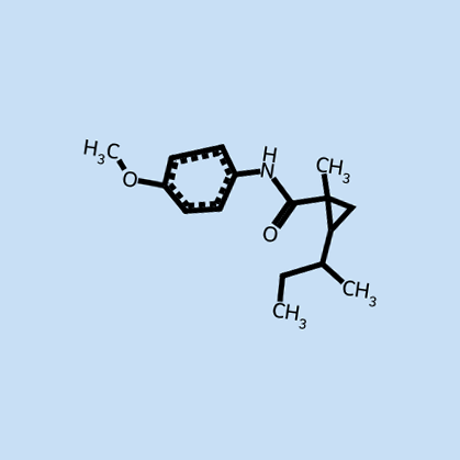 CCC(C)C1CC1(C)C(=O)Nc1ccc(OC)cc1